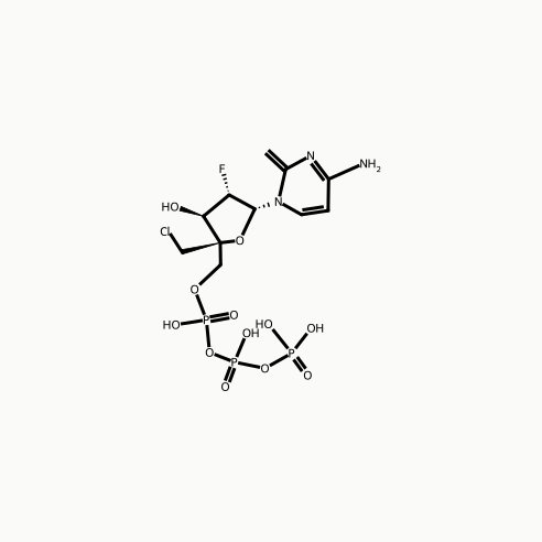 C=C1N=C(N)C=CN1[C@@H]1O[C@](CCl)(COP(=O)(O)OP(=O)(O)OP(=O)(O)O)[C@@H](O)[C@@H]1F